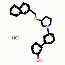 Cl.Oc1cccc(-c2cccc(N3CCCC(OCc4ccc5ccccc5c4)C3)c2)c1